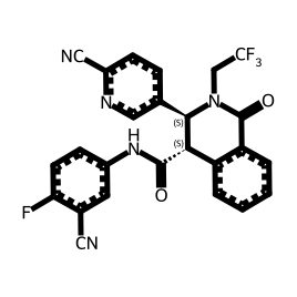 N#Cc1ccc([C@@H]2[C@@H](C(=O)Nc3ccc(F)c(C#N)c3)c3ccccc3C(=O)N2CC(F)(F)F)cn1